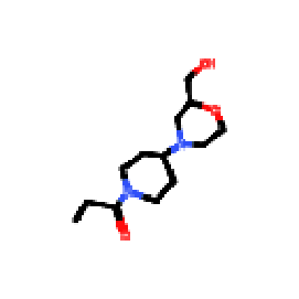 CCC(=O)N1CCC(N2CCO[C@H](CO)C2)CC1